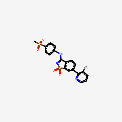 CS(=O)(=O)c1ccc(NC2=NS(=O)(=O)c3cc(-c4ncccc4C(F)(F)F)ccc32)cc1